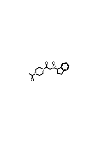 CC(=O)N1CCN(C(=O)C[S+]([O-])C2CCc3ccccc32)CC1